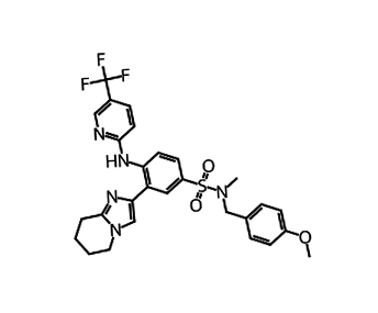 COc1ccc(CN(C)S(=O)(=O)c2ccc(Nc3ccc(C(F)(F)F)cn3)c(-c3cn4c(n3)CCCC4)c2)cc1